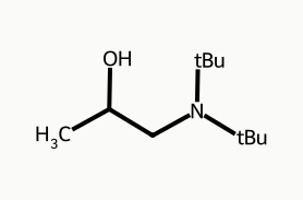 CC(O)CN(C(C)(C)C)C(C)(C)C